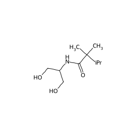 CC(C)C(C)(C)C(=O)NC(CO)CO